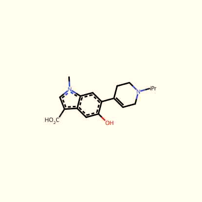 CC(C)N1CC=C(c2cc3c(cc2O)c(C(=O)O)cn3C)CC1